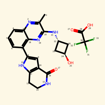 Cc1nc2cccc(-c3cc4c([nH]3)CCNC4=O)c2nc1N[C@H]1C[C@H](O)C1.O=C(O)C(F)(F)F